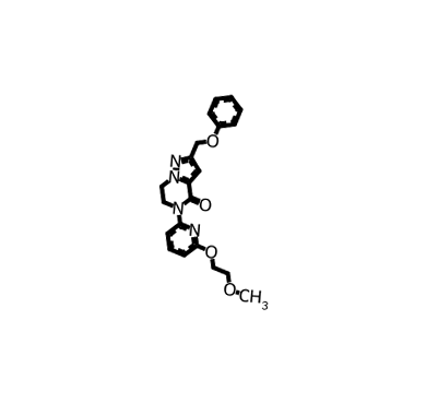 COCCOc1cccc(N2CCn3nc(COc4ccccc4)cc3C2=O)n1